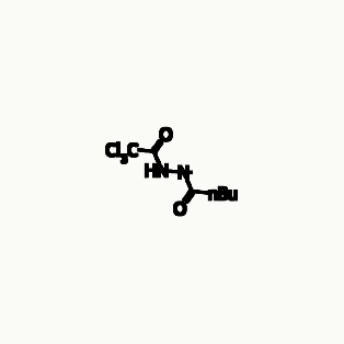 CCCCC(=O)[N]NC(=O)C(Cl)(Cl)Cl